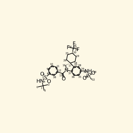 CC(C)(C)NS(=O)(=O)c1cccc(C(=O)N2C[C@]3(CC[C@H](C(F)(F)F)CC3)c3cc(NS(C)(=O)=O)ccc32)c1